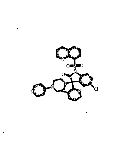 Cc1cccnc1C1(N2CCN(c3ccncc3)CC2)C(=O)N(S(=O)(=O)c2cccc3cccnc23)c2ccc(Cl)cc21